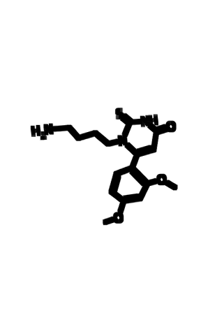 COc1ccc(-c2cc(=O)[nH]c(=S)n2CCCCN)c(OC)c1